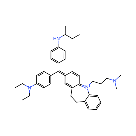 CCC(C)Nc1ccc(/C(c2ccc(N(CC)CC)cc2)=c2\ccc3c(c2)CCc2ccccc2[N+]=3CCCN(C)C)cc1